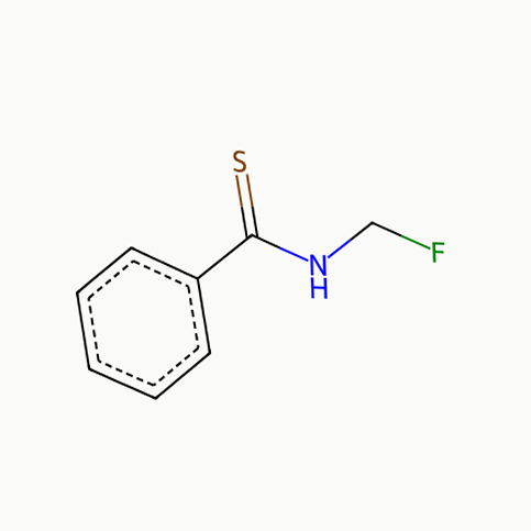 FCNC(=S)c1ccccc1